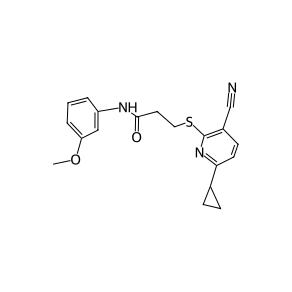 COc1cccc(NC(=O)CCSc2nc(C3CC3)ccc2C#N)c1